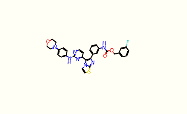 O=C(Nc1cccc(-c2nc3sccn3c2-c2ccnc(Nc3ccc(N4CCOCC4)cc3)n2)c1)OCc1cccc(F)c1